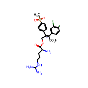 CS(=O)(=O)c1ccc(/C(COC(=O)C(N)CCCNC(N)N)=C(/C(=O)O)c2ccc(F)c(F)c2)cc1